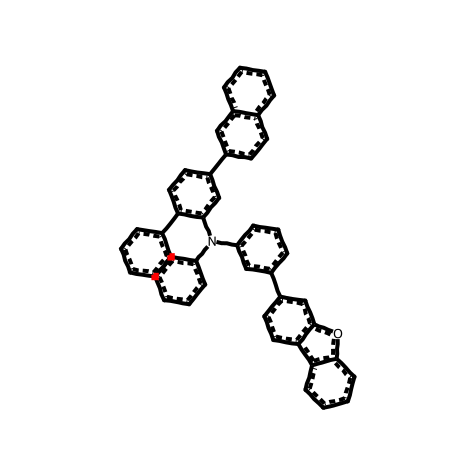 c1ccc(-c2ccc(-c3ccc4ccccc4c3)cc2N(c2ccccc2)c2cccc(-c3ccc4c(c3)oc3ccccc34)c2)cc1